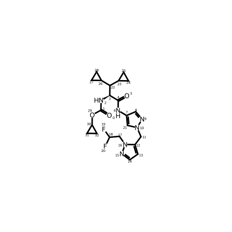 O=C(N[C@H](C(=O)Nc1cnn(Cc2ccnn2CC(F)F)c1)C(C1CC1)C1CC1)OC1CC1